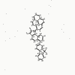 Cc1c(C)n(-c2ccc3ccc4cccc5ccc2c3c45)c2c1ccc1c(-c3ccc4c(c3)C(C)(C)c3ccccc3-4)cccc12